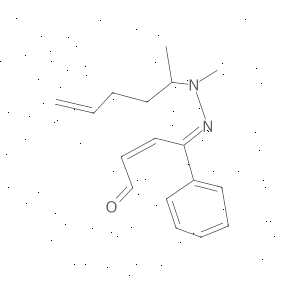 C=CCCC(C)N(C)/N=C(\C=C/C=O)c1ccccc1